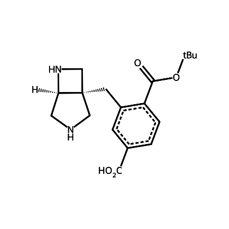 CC(C)(C)OC(=O)c1ccc(C(=O)O)cc1C[C@]12CNC[C@H]1NC2